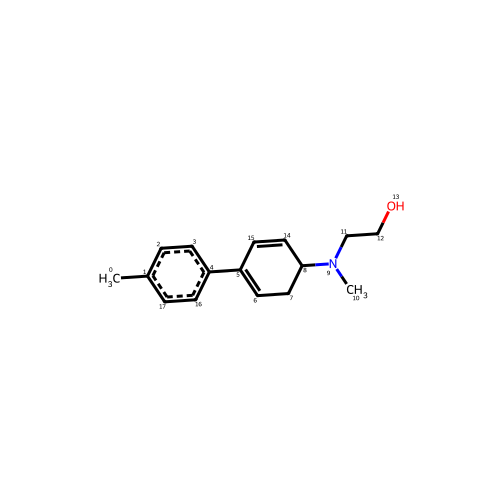 Cc1ccc(C2=CCC(N(C)CCO)C=C2)cc1